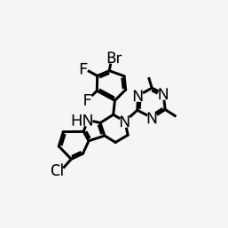 Cc1nc(C)nc(N2CCc3c([nH]c4ccc(Cl)cc34)C2c2ccc(Br)c(F)c2F)n1